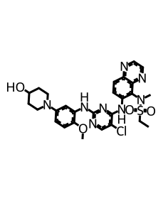 CCS(=O)(=O)N(C)c1c(Nc2nc(Nc3cc(N4CCC(O)CC4)ccc3OC)ncc2Cl)ccc2nccnc12